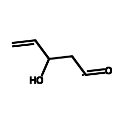 C=CC(O)C[C]=O